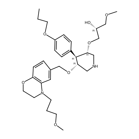 CCCOc1ccc([C@@H]2[C@@H](OCc3ccc4c(c3)N(CCCOC)CCO4)CNC[C@H]2OC[C@H](O)COC)cc1